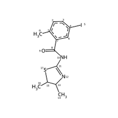 Cc1ccc(I)cc1C(=O)NC1=NC(C)C(C)S1